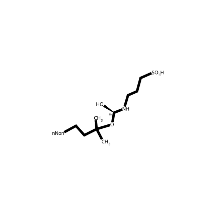 CCCCCCCCCCCC(C)(C)O[C@@H](O)NCCCS(=O)(=O)O